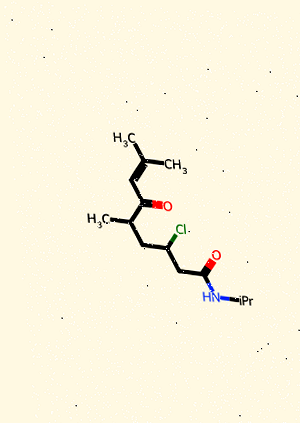 CC(C)=CC(=O)C(C)CC(Cl)CC(=O)NC(C)C